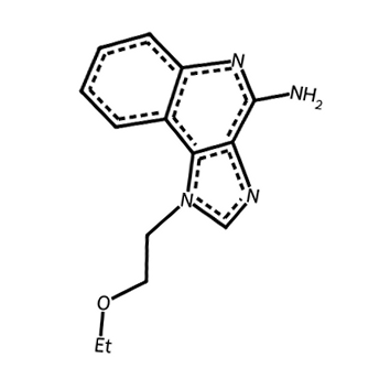 CCOCCn1cnc2c(N)nc3ccccc3c21